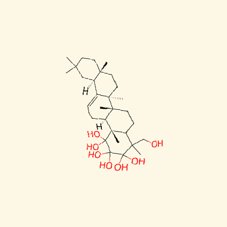 CC1(C)CC[C@]2(C)CC[C@]3(C)C(=CC[C@@H]4[C@]5(C)C(CC[C@]43C)C(C)(CO)C(O)(O)C(O)(O)C5(O)O)[C@H]2C1